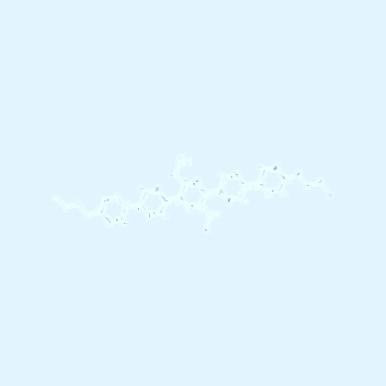 CCCCc1ccc(-c2ccc(-c3cc(OC)c(-c4ccc(-c5ccc(CCCC)cc5)cc4)cc3CO)cc2)cc1